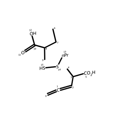 C=C=CC(C)C(=O)O.CCC(C)C(=O)O.CCCSS